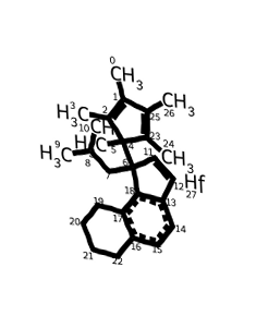 CC1=C(C)C(C)(C2(CC(C)C)C=Cc3ccc4c(c32)CCCC4)C(C)=C1C.[Hf]